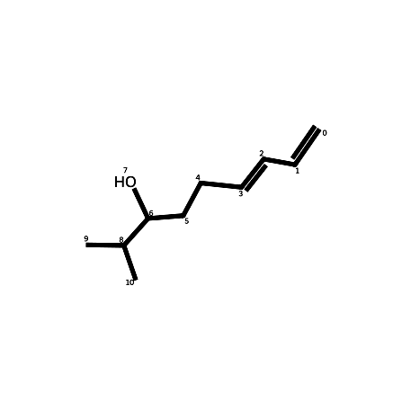 C=CC=CCCC(O)C(C)C